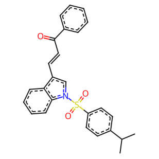 CC(C)c1ccc(S(=O)(=O)n2cc(/C=C/C(=O)c3ccccc3)c3ccccc32)cc1